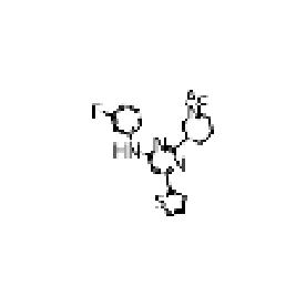 CC(=O)N1CCCC(c2nc(Nc3cccc(F)c3)cc(-c3cccs3)n2)C1